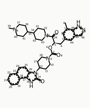 Cc1cc(C[C@@H](OC(=O)N2CCC(n3c(=O)[nH]c4c5ccccc5ccc43)CC2)C(=O)N2CCC(C3CCN(C)CC3)CC2)cc2cn[nH]c12